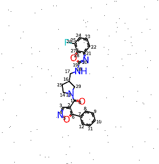 O=C(c1cnoc1-c1ccccc1)N1CCC(CNc2nc3cccc(F)c3o2)C1